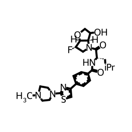 CC(C)C[C@H](NC(=O)c1ccc(-c2csc(N3CCN(C)CC3)n2)cc1)C(=O)N1C[C@H](F)[C@H]2OCC(O)[C@H]21